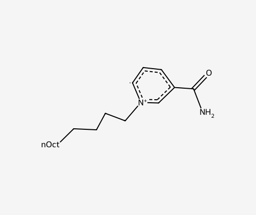 CCCCCCCCCCCC[n+]1[c]ccc(C(N)=O)c1